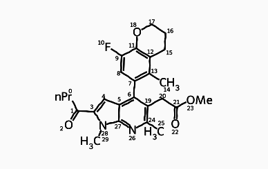 CCCC(=O)c1cc2c(-c3cc(F)c4c(c3C)CCCO4)c(CC(=O)OC)c(C)nc2n1C